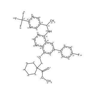 COC(=O)C1(COc2cc(-c3ccc(F)cc3)cc3c(NC(C)c4cnc(C(F)(F)F)nc4)ncnc23)CCCCC1